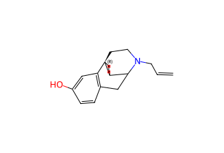 C=CCN1CC[C@]23CCCCC2C1Cc1ccc(O)cc13